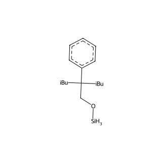 CCC(C)C(CO[SiH3])(c1ccccc1)C(C)CC